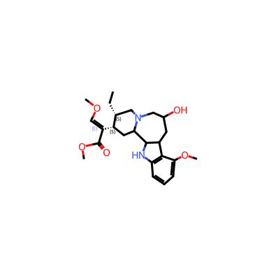 CC[C@@H]1CN2CC(O)CC3c4c(cccc4OC)NC3C2C[C@@H]1/C(=C\OC)C(=O)OC